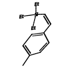 CC[Si](/C=C\c1ccc(C)cc1)(CC)CC